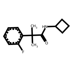 CC(C)(C(=O)NC1CCC1)c1ccccc1F